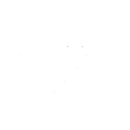 O=S(=O)(O)Cc1ccc2nc(-c3ccccc3)c3ccc(CS(=O)(=O)O)cc3c2c1